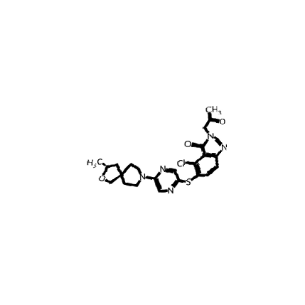 CC(=O)Cn1cnc2ccc(Sc3cnc(N4CCC5(CC4)CO[C@@H](C)C5)cn3)c(Cl)c2c1=O